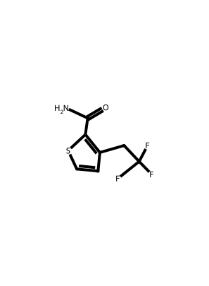 NC(=O)c1sccc1CC(F)(F)F